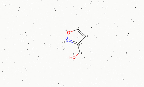 O[CH]c1ccon1